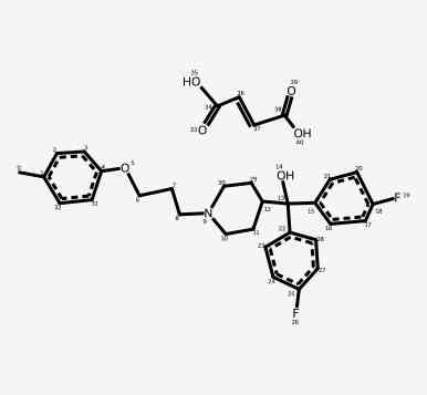 Cc1ccc(OCCCN2CCC(C(O)(c3ccc(F)cc3)c3ccc(F)cc3)CC2)cc1.O=C(O)/C=C/C(=O)O